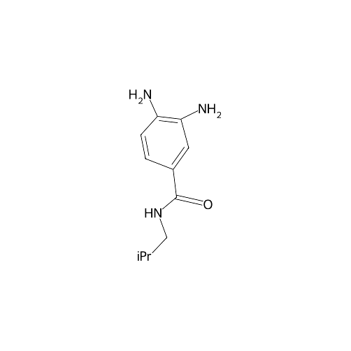 CC(C)CNC(=O)c1ccc(N)c(N)c1